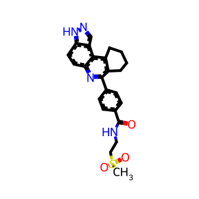 CS(=O)(=O)CCNC(=O)c1ccc(-c2nc3ccc4[nH]ncc4c3c3c2CCCC3)cc1